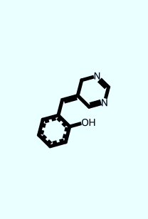 Oc1ccccc1C=C1C=NC=NC1